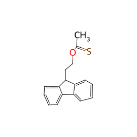 CC(=S)OCCC1c2ccccc2-c2ccccc21